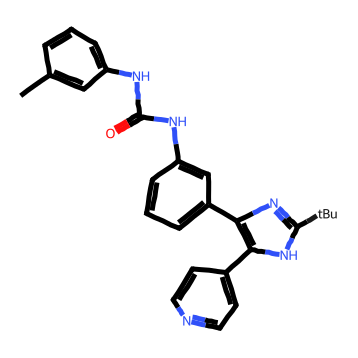 Cc1cccc(NC(=O)Nc2cccc(-c3nc(C(C)(C)C)[nH]c3-c3ccncc3)c2)c1